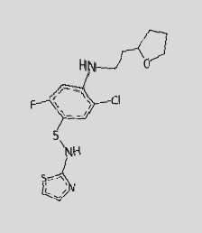 Fc1cc(NCCC2CCCO2)c(Cl)cc1SNc1nccs1